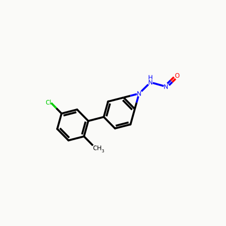 Cc1ccc(Cl)cc1-c1ccc2c(c1)N2NN=O